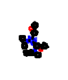 c1ccc2cc3c(cc2c1)c1ccccc1n3-c1cc(-c2nc(-c3ccc4c(c3)oc3ccccc34)nc(-n3c4ccccc4c4ccccc43)n2)cc2c1oc1ccccc12